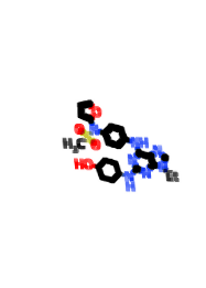 CCn1cnc2c(Nc3ccc(N(c4ccco4)S(C)(=O)=O)cc3)nc(N[C@H]3CC[C@H](O)CC3)nc21